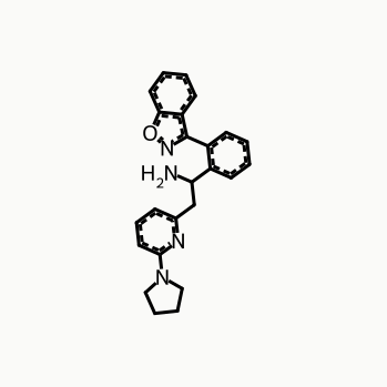 NC(Cc1cccc(N2CCCC2)n1)c1ccccc1-c1noc2ccccc12